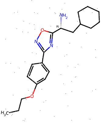 CCCOc1ccc(-c2noc([C@H](N)CC3CCCCC3)n2)cc1